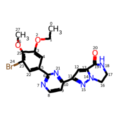 CCOc1cc(-c2nccc(-c3cc4n(n3)CCNC4=O)n2)cc(Br)c1OC